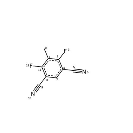 Cc1c(F)c(C#N)cc(C#N)c1F